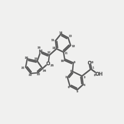 O=C(O)c1ccccc1/C=C/c1ccccc1-c1nc2ccccc2o1